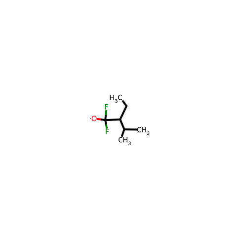 CCC(C(C)C)C([O])(F)F